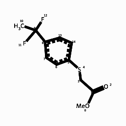 COC(=O)CSc1ccc(C(C)(F)F)cc1